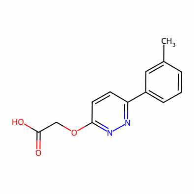 Cc1cccc(-c2ccc(OCC(=O)O)nn2)c1